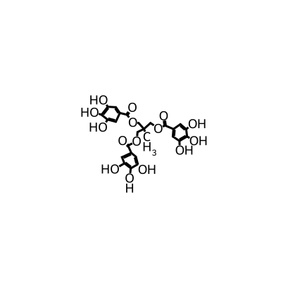 CC(COC(=O)c1cc(O)c(O)c(O)c1)(COC(=O)c1cc(O)c(O)c(O)c1)COC(=O)c1cc(O)c(O)c(O)c1